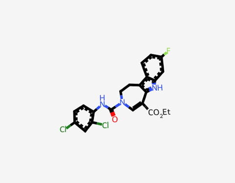 CCOC(=O)C1=CN(C(=O)Nc2ccc(Cl)cc2Cl)CCc2c1[nH]c1cc(F)ccc21